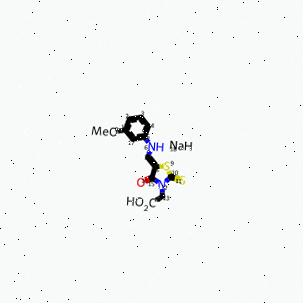 COc1cccc(NC=C2SC(=S)N(CC(=O)O)C2=O)c1.[NaH]